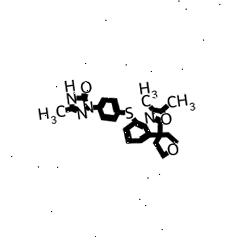 Cc1nn(-c2ccc(Sc3cccc(C4(C5=NC(C)C(C)O5)CCOCC4)c3)cc2)c(=O)[nH]1